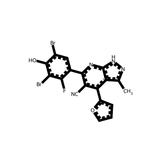 Cc1n[nH]c2nc(-c3cc(Br)c(O)c(Br)c3F)c(C#N)c(-c3ccco3)c12